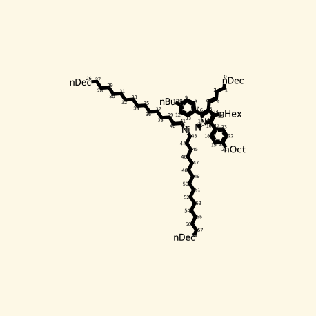 CCCCCCCCCCCCC=CC1=C(c2ccc(CCCC)cc2)[N+](=[N-])C(c2ccc(CCCCCCCC)cc2)=C1CCCCCC.CCCCCCCCCCCCCCCCCCCCCCCC[CH2][Ni][CH2]CCCCCCCCCCCCCCCCCCCCCCCC